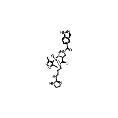 Cc1noc(C)c1S(=O)(=O)NC(CNC(=O)c1ccc2[nH]ncc2c1)C(=O)OCCCNC1=NCCN1